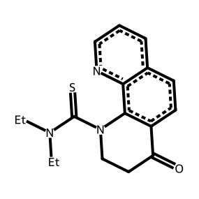 CCN(CC)C(=S)N1CCC(=O)c2ccc3cccnc3c21